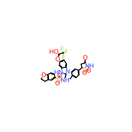 O=C(O)C(F)(F)F.O=C1CC(c2ccc(C[C@H](NS(=O)(=O)c3ccc4c(c3)CCO4)c3nc4ccccc4[nH]3)cc2)S(=O)(=O)N1